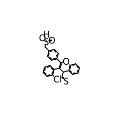 O=[SH](=O)Cc1ccc(C2=C(c3ccccc3Cl)C(C=S)c3ccccc3O2)cc1